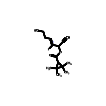 C#CC(OC(=O)C1C(C)(C)C1(C)C)/C(F)=C/CCO